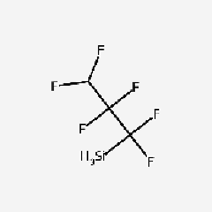 FC(F)C(F)(F)C(F)(F)[SiH3]